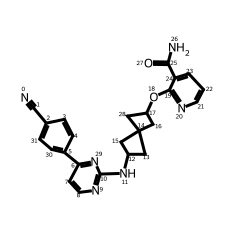 N#Cc1ccc(-c2ccnc(NC3CC4(C3)CC(Oc3ncccc3C(N)=O)C4)n2)cc1